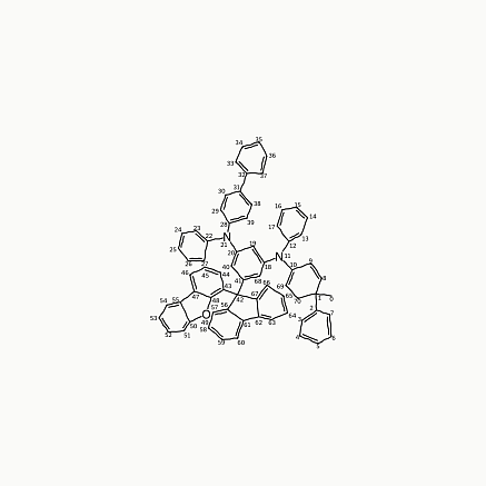 CC1(c2ccccc2)C=CC(N(c2ccccc2)c2cc(N(c3ccccc3)c3ccc(-c4ccccc4)cc3)cc(C3(c4cccc5c4oc4ccccc45)c4ccccc4-c4ccccc43)c2)=CC1